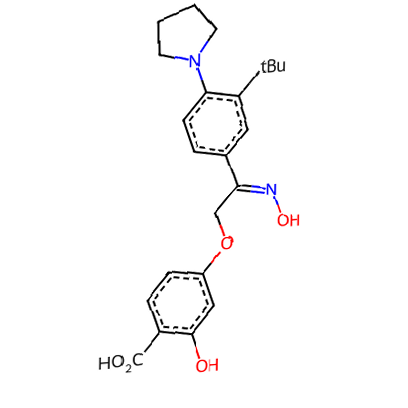 CC(C)(C)c1cc(C(COc2ccc(C(=O)O)c(O)c2)=NO)ccc1N1CCCC1